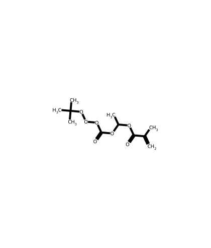 C=C(C)C(=O)OC(C)OC(=O)OOOC(C)(C)C